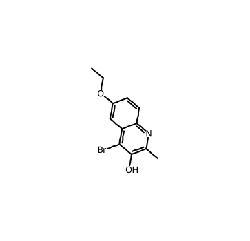 CCOc1ccc2nc(C)c(O)c(Br)c2c1